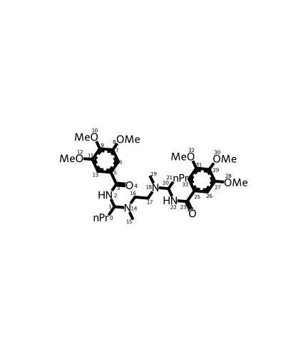 CCCC(NC(=O)c1cc(OC)c(OC)c(OC)c1)N(C)CCN(C)C(CCC)NC(=O)c1cc(OC)c(OC)c(OC)c1